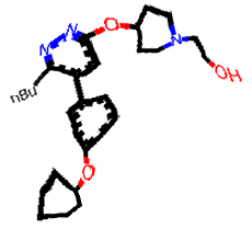 CCCCc1nnc(OC2CCN(CCO)CC2)cc1-c1ccc(OC2CCCCC2)cc1